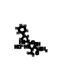 CC(C)C(NC(=O)[C@@H]1C[C@H](c2ccccc2)CN1)C(O)C(N)=O.Cl